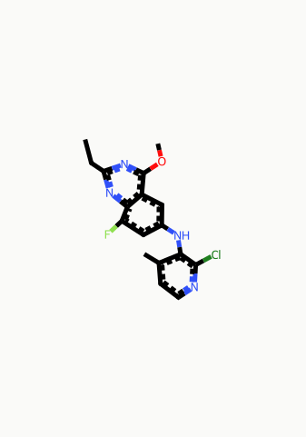 CCc1nc(OC)c2cc(Nc3c(C)ccnc3Cl)cc(F)c2n1